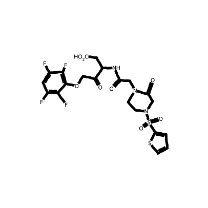 O=C(O)CC(NC(=O)CN1CCN(S(=O)(=O)c2cccs2)CC1=O)C(=O)COc1c(F)c(F)cc(F)c1F